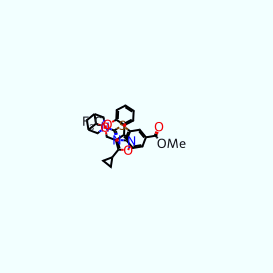 COC(=O)c1ccc2nc(N3CC4CC(C3)C4OCc3c(-c4ccccc4OC(F)(F)F)noc3C3CC3)sc2c1